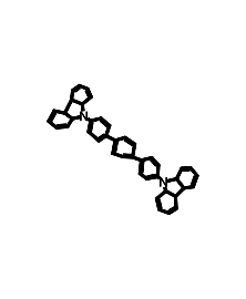 C1=CC2C3C=CC=CC3N(c3ccc(-c4ccc(-c5ccc(N6C7C=CC=CC7C7C=CC=CC76)cc5)cc4)cc3)C2C=C1